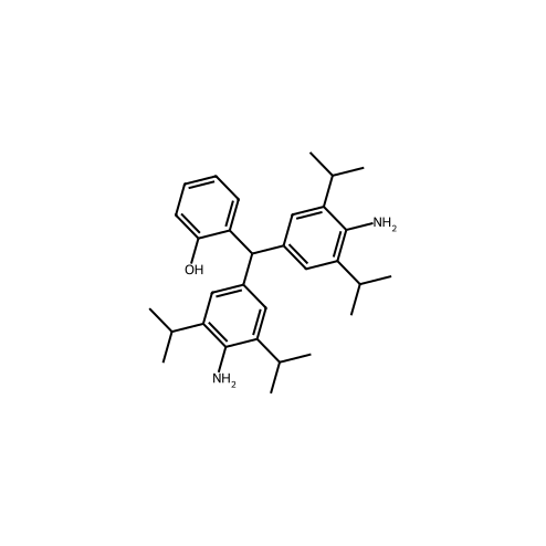 CC(C)c1cc(C(c2cc(C(C)C)c(N)c(C(C)C)c2)c2ccccc2O)cc(C(C)C)c1N